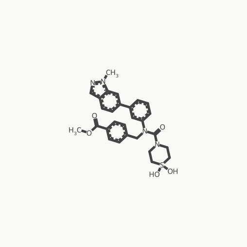 COC(=O)c1ccc(CN(C(=O)N2CCS(O)(O)CC2)c2cccc(-c3ccc4cnn(C)c4c3)c2)cc1